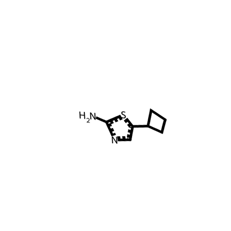 Nc1ncc(C2CCC2)s1